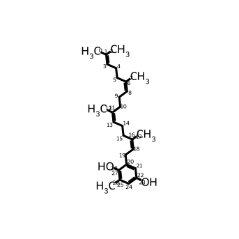 CC(C)=CCCC(C)=CCCC(C)=CCCC(C)=CCc1cc(O)cc(C)c1O